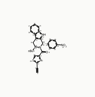 C#Cc1nc(C(=O)N2[C@@H](CCCC)Cc3c([nH]c4ccccc34)[C@@H]2c2ccc([N+](=O)[O-])cc2)cs1